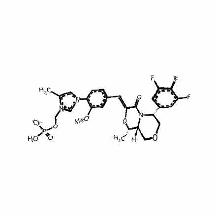 COc1cc(C=C2O[C@@H](C)[C@H]3COC[C@@H](c4cc(F)c(F)c(F)c4)N3C2=O)ccc1-n1cc(C)[n+](COP(=O)([O-])O)c1